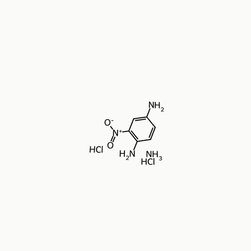 Cl.Cl.N.Nc1ccc(N)c([N+](=O)[O-])c1